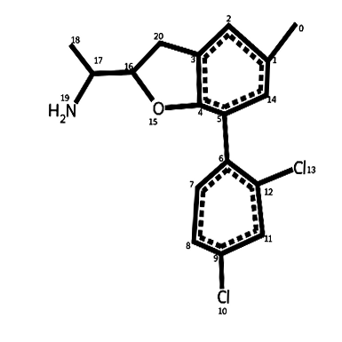 Cc1cc2c(c(-c3ccc(Cl)cc3Cl)c1)OC(C(C)N)C2